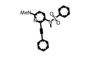 CNc1ccc(N(C)S(=O)(=O)c2ccccc2)c(C#Cc2ccccc2)n1